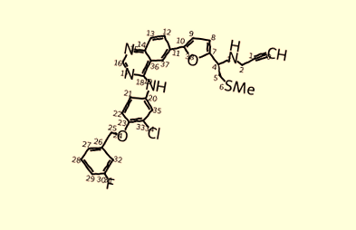 C#CCN[C@@H](CSC)c1ccc(-c2ccc3ncnc(Nc4ccc(OCc5cccc(F)c5)c(Cl)c4)c3c2)o1